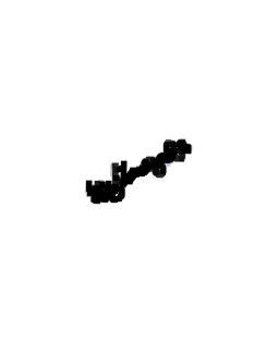 CC(C)OC(=O)/C=C/C(=O)OCCCNC(=O)NC(C)(C)C